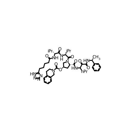 CCCC(NC(=O)[C@@H]1C[C@@H](OC(=O)N2CCc3ccccc3C2)CN1C(=O)[C@@H](NC(=O)[C@H](NC(=O)CCCCc1nnn[nH]1)C(C)C)C(C)C)C(=O)C(=O)N[C@@H](C)c1ccccc1